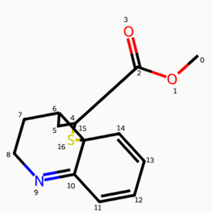 COC(=O)C1CC2CCN=C3C=CC=CC32S1